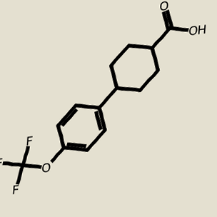 O=C(O)C1CCC(c2ccc(OC(F)(F)F)cc2)CC1